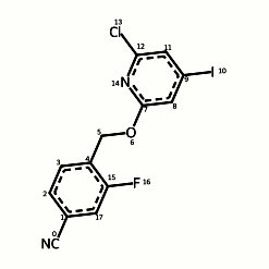 N#Cc1ccc(COc2cc(I)cc(Cl)n2)c(F)c1